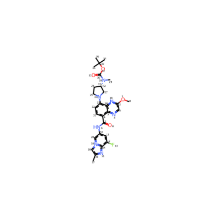 COc1cnc2c(C(=O)Nc3cc(F)c4nc(C)cn4c3)ccc(N3CC[C@H](N(C)C(=O)OC(C)(C)C)C3)c2n1